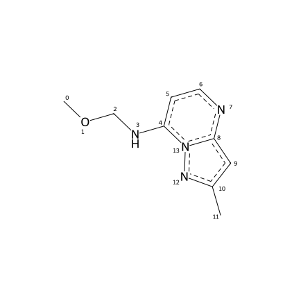 COCNc1ccnc2cc(C)nn12